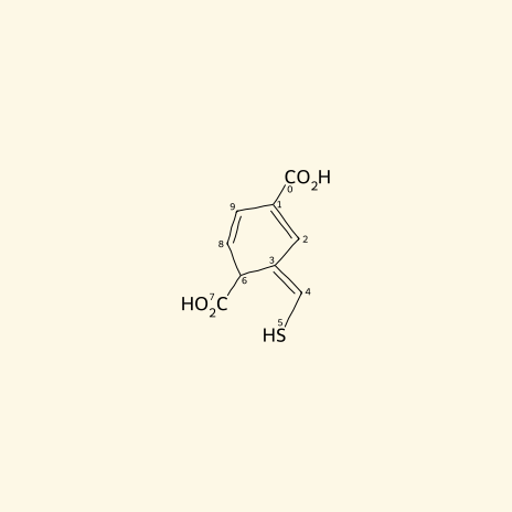 O=C(O)C1=CC(=CS)C(C(=O)O)C=C1